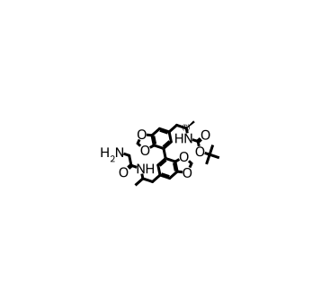 CC(Cc1cc2c(c(-c3cc(C[C@@H](C)NC(=O)OC(C)(C)C)cc4c3OCO4)c1)OCO2)NC(=O)CN